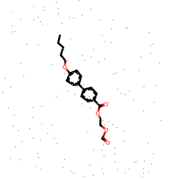 CCCCCOc1ccc(-c2ccc(C(=O)OCCOC=O)cc2)cc1